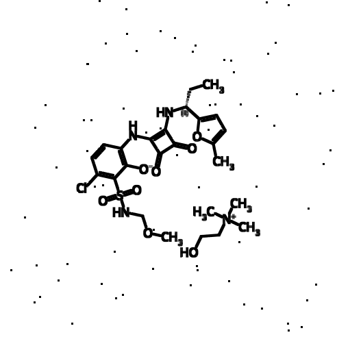 CC[C@@H](Nc1c(Nc2ccc(Cl)c(S(=O)(=O)NCOC)c2[O-])c(=O)c1=O)c1ccc(C)o1.C[N+](C)(C)CCO